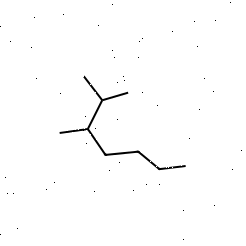 CCCCC(C)C(C)C